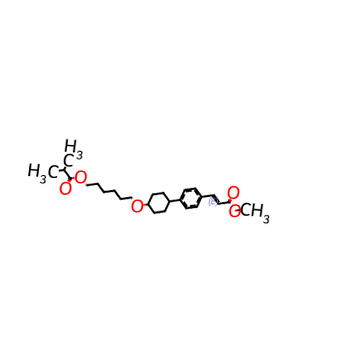 COC(=O)/C=C/c1ccc(C2CCC(OCCCCCCOC(=O)C(C)C)CC2)cc1